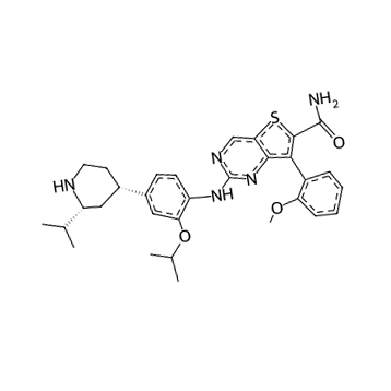 COc1ccccc1-c1c(C(N)=O)sc2cnc(Nc3ccc([C@H]4CCN[C@@H](C(C)C)C4)cc3OC(C)C)nc12